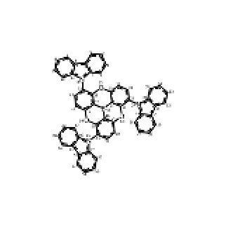 c1ccc2c(c1)c1ccccc1n2-c1ccc2c3c1Oc1ccc(-n4c5ccccc5c5ccccc54)c4c1B3c1c(ccc(-n3c5ccccc5c5ccccc53)c1O2)O4